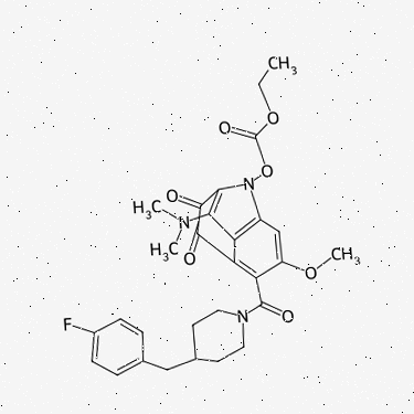 CCOC(=O)On1c2c(N(C)C)c3c(c(C(=O)N4CCC(Cc5ccc(F)cc5)CC4)c(OC)cc31)C(=O)C2=O